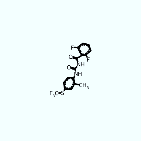 Cc1cc(SC(F)(F)F)ccc1NC(=O)NC(=O)c1c(F)cccc1F